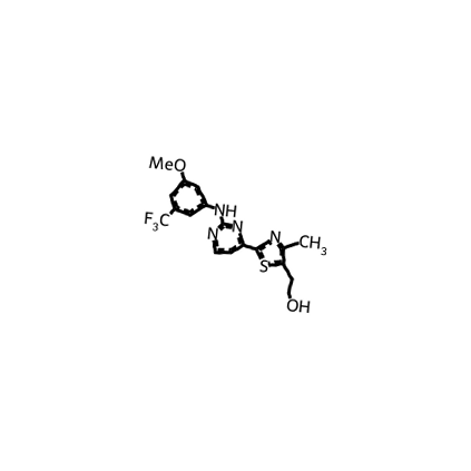 COc1cc(Nc2nccc(-c3nc(C)c(CCO)s3)n2)cc(C(F)(F)F)c1